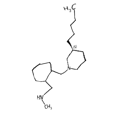 CCCCC[C@H]1CCCN(CC2CCCCC2CNC)C1